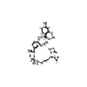 CC1C/C=C/C(C2CC2)C2CCC2CN2C[C@@]3(CCCc4cc(Cl)ccc43)COc3ccc(cc32)C(=O)NS1(=O)=O